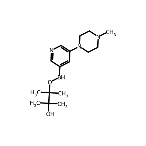 CN1CCN(c2cncc(BOC(C)(C)C(C)(C)O)c2)CC1